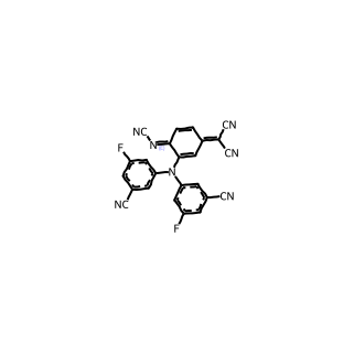 N#C/N=C1\C=CC(=C(C#N)C#N)C=C1N(c1cc(F)cc(C#N)c1)c1cc(F)cc(C#N)c1